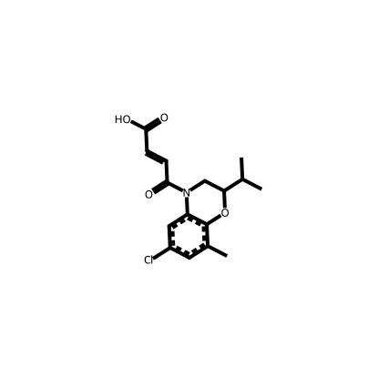 Cc1cc(Cl)cc2c1OC(C(C)C)CN2C(=O)C=CC(=O)O